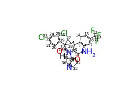 NC(=O)[C@H](Cc1ccc(C(F)(F)F)cc1)N(C(=O)C1(c2ccc(Cl)cc2Cl)CC1)[C@@H]1CN2CCC1CC2